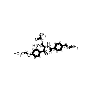 C[C@@H](OC(=O)C(F)(F)F)[C@H](NC(=O)c1ccc(C=NN)cc1)C(=O)c1ccc(OCC(=O)O)cc1